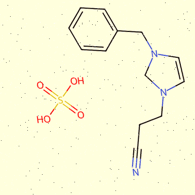 N#CCCN1C=CN(Cc2ccccc2)C1.O=S(=O)(O)O